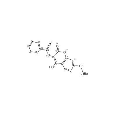 CC(C)(C)Oc1ccc2c(O)c(OC(=O)c3ccccc3)c(=O)oc2c1